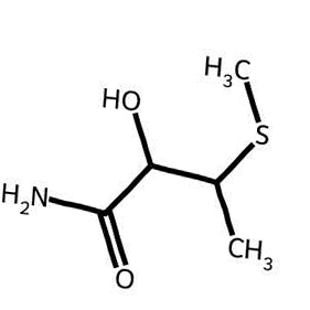 CSC(C)C(O)C(N)=O